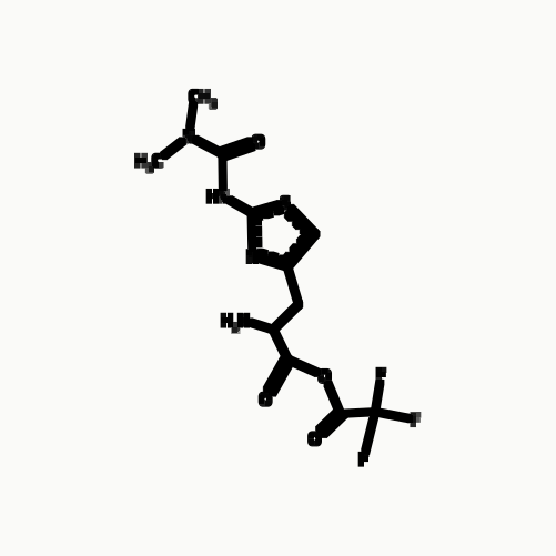 CN(C)C(=O)Nc1nc(CC(N)C(=O)OC(=O)C(F)(F)F)cs1